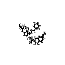 COC(=O)C[C@@H]1C[C@@H](CNC(=O)N2CCc3ccc(C#N)cc3C2)N(CCCc2ccccc2)C1=O